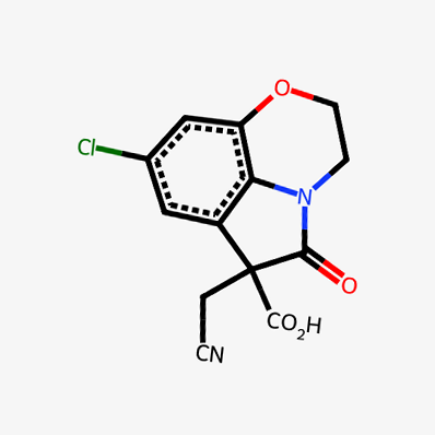 N#CCC1(C(=O)O)C(=O)N2CCOc3cc(Cl)cc1c32